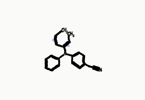 C/C=C\C(=C/C)N(c1ccccc1)c1ccc(C#N)cc1